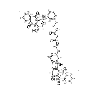 O=C(CC(=O)OCCc1cccc(Nc2ccc(O)c3c2C(=O)c2ccccc2C3=O)c1)OCCc1cccc(Nc2ccc(O)c3c2C(=O)c2ccccc2C3=O)c1